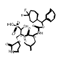 CC(C)C[C@H](NC(=O)OC(c1ccccc1)C1CCC(F)(F)CC1)C(=O)N[C@@H](C[C@@H]1CCNC1=O)C(O)S(=O)(=O)O